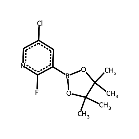 CC1(C)OB(c2cc(Cl)cnc2F)OC1(C)C